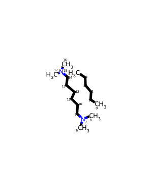 CCCCCC.CN(C)CCCCCCN(C)C